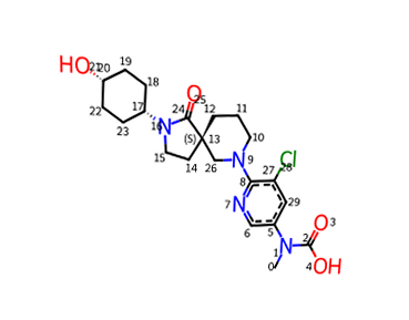 CN(C(=O)O)c1cnc(N2CCC[C@]3(CCN([C@H]4CC[C@@H](O)CC4)C3=O)C2)c(Cl)c1